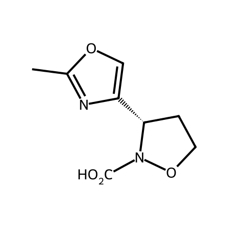 Cc1nc([C@@H]2CCON2C(=O)O)co1